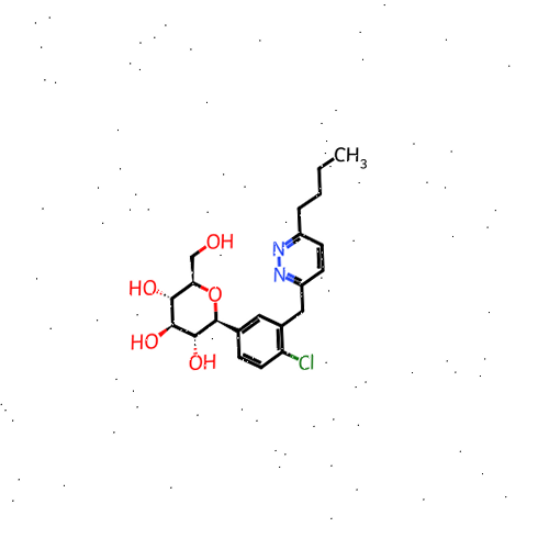 CCCCc1ccc(Cc2cc([C@@H]3O[C@H](CO)[C@@H](O)[C@H](O)[C@H]3O)ccc2Cl)nn1